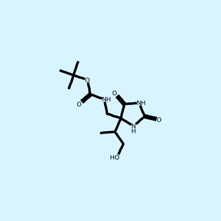 CC(CO)C1(CNC(=O)OC(C)(C)C)NC(=O)NC1=O